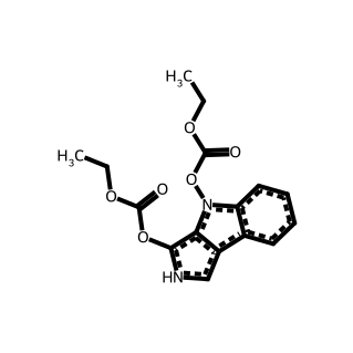 CCOC(=O)Oc1[nH]cc2c3ccccc3n(OC(=O)OCC)c12